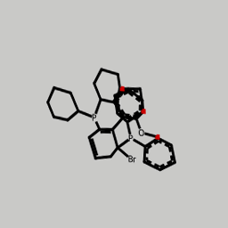 COc1ccccc1C1=C(P(C2CCCCC2)C2CCCCC2)C=CCC1(Br)P(c1ccccc1)c1ccccc1